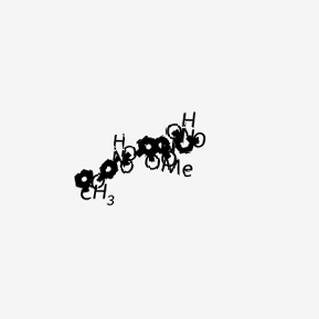 COc1c(COC(=O)Nc2ccc(Oc3ccccc3C)cc2)ccc2c1C(=O)N(C1CCC(=O)NC1=O)C2